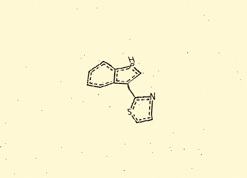 [c]1[pH]c2ccccc2c1-c1nccs1